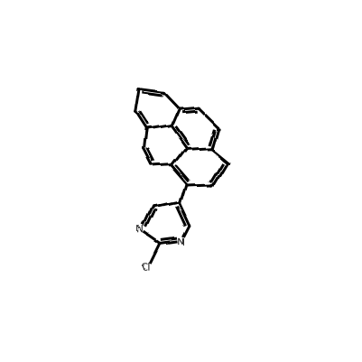 Clc1ncc(-c2ccc3ccc4cccc5ccc2c3c45)cn1